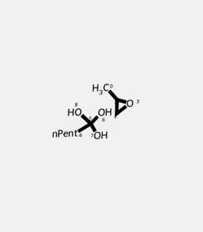 CC1CO1.CCCCCC(O)(O)O